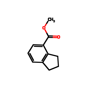 COC(=O)c1cccc2c1CCC2